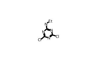 CC[N]c1nc(Cl)nc(Cl)n1